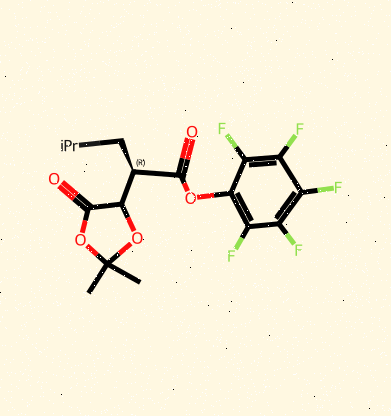 CC(C)C[C@@H](C(=O)Oc1c(F)c(F)c(F)c(F)c1F)C1OC(C)(C)OC1=O